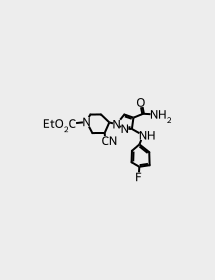 CCOC(=O)N1CCC(n2cc(C(N)=O)c(Nc3ccc(F)cc3)n2)C(C#N)C1